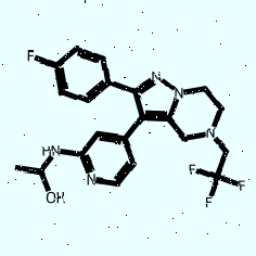 CC(O)Nc1cc(-c2c(-c3ccc(F)cc3)nn3c2CN(CC(F)(F)F)CC3)ccn1